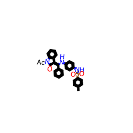 CC(=O)N1C(=O)C(=C(Nc2ccc(NS(=O)(=O)c3ccc(C)cc3)cc2)c2ccccc2)c2ccccc21